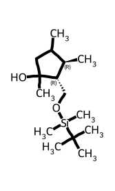 CC1CC(C)(O)[C@@H](CO[Si](C)(C)C(C)(C)C)[C@@H]1C